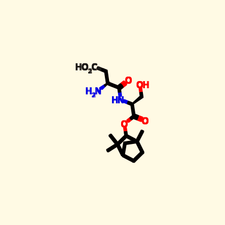 CC12CCC(C1)C(C)(C)C2OC(=O)[C@H](CO)NC(=O)[C@@H](N)CC(=O)O